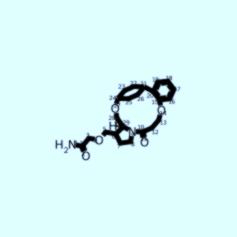 NC(=O)COCC1CCN2C(=O)CCOc3ccccc3C3CCC(CC3)OC[C@H]12